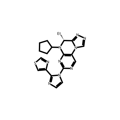 CC[C@@H]1c2nncn2-c2cnc(-n3ccnc3-c3cscn3)nc2N1C1CCCC1